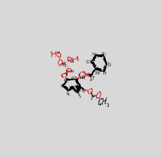 COCOc1cccc(OOB(O)OO)c1OCc1ccccc1